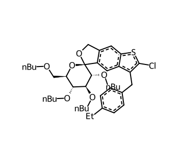 CCCCOC[C@H]1O[C@]2(OCc3cc4sc(Cl)c(Cc5ccc(CC)cc5)c4cc32)[C@H](OCCCC)[C@@H](OCCCC)[C@@H]1OCCCC